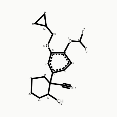 N#CC1(c2ccc(OC(F)F)c(OCC3CC3)c2)CCCCC1O